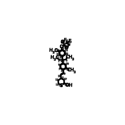 CCC(CC)(c1ccc(/C=C/C2CCSC(O)C2)c(C)c1)c1ccc(OS(=O)(=O)C(F)(F)F)c(C)c1